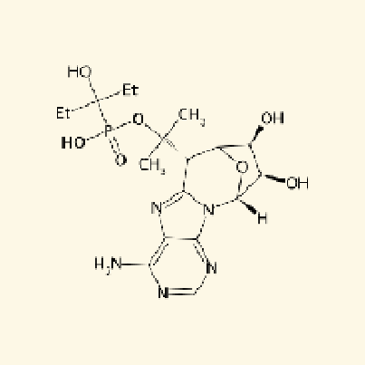 CCC(O)(CC)P(=O)(O)OC(C)(C)[C@H]1c2nc3c(N)ncnc3n2[C@@H]2OC1[C@@H](O)[C@H]2O